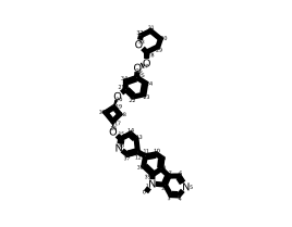 Cn1c2ccncc2c2ccc(-c3ccc(O[C@H]4C[C@H](Oc5cccc(OOC6CCCCO6)c5)C4)nc3)cc21